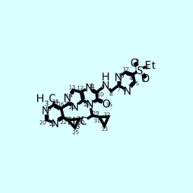 CCS(=O)(=O)c1cnc(CNc2nc3cnc(-c4c(C)ncnc4C4CC4)nc3n(C(C)C3CC3)c2=O)nc1